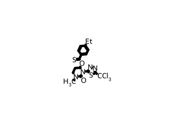 CCc1ccc(C(=S)OC2CCN(C)C(=O)N2c2nnc(C(Cl)(Cl)Cl)s2)cc1